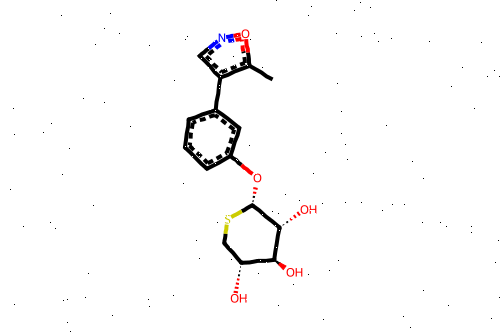 Cc1oncc1-c1cccc(O[C@H]2SC[C@@H](O)[C@H](O)[C@H]2O)c1